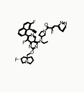 C#Cc1c(F)ccc2cccc(-c3ncc4c(N(CC)C5CCN(C(=O)/C(F)=C/c6cccnn6)C5)nc(OC[C@@]56CCCN5C[C@H](F)C6)nc4c3F)c12